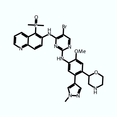 COc1cc(C2CNCCO2)c(-c2cnn(C)c2)cc1Nc1ncc(Br)c(Nc2ccc3ncccc3c2P(C)(C)=O)n1